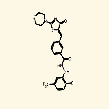 O=C1N=C(N2CCSCC2)SC1=Cc1cccc(C(=O)NNc2cc(C(F)(F)F)ccc2Cl)c1